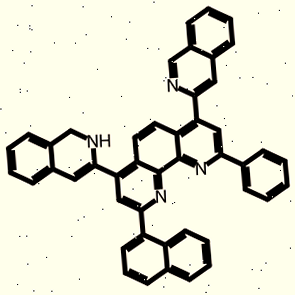 C1=C(c2cc(-c3cccc4ccccc34)nc3c2ccc2c(-c4cc5ccccc5cn4)cc(-c4ccccc4)nc23)NCc2ccccc21